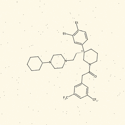 CCc1ccc([C@@]2(CCN3CCN(C4CCCCC4)CC3)CCCN(C(=O)Cc3cc(C(F)(F)F)cc(C(F)(F)F)c3)C2)cc1CC